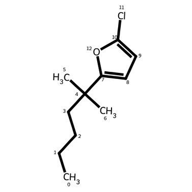 CCCCC(C)(C)c1ccc(Cl)o1